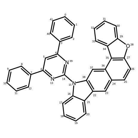 c1ccc(-c2cc(-c3ccccc3)nc(-n3c4ccccc4c4cc5ccc6oc7ccccc7c6c5cc43)n2)cc1